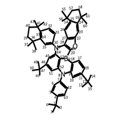 CC(C)(C)c1ccc(N2c3cc(C(C)(C)C)ccc3B3c4oc5cc6c(cc5c4N(c4ccc5c(c4)C(C)(C)CCC5(C)C)c4cc(C(C)(C)C)cc2c43)C(C)(C)CCC6(C)C)cc1